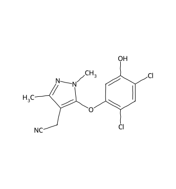 Cc1nn(C)c(Oc2cc(O)c(Cl)cc2Cl)c1CC#N